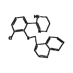 Clc1cccc(C2=NCCCN2)c1SCc1cccc2ccccc12